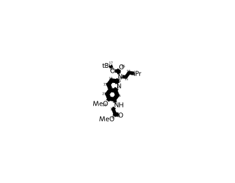 COC(=O)CNc1cc2nc(N(CCC(C)C)C(=O)OC(C)(C)C)ccc2cc1OC